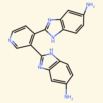 Nc1ccc2[nH]c(-c3ccncc3-c3nc4cc(N)ccc4[nH]3)nc2c1